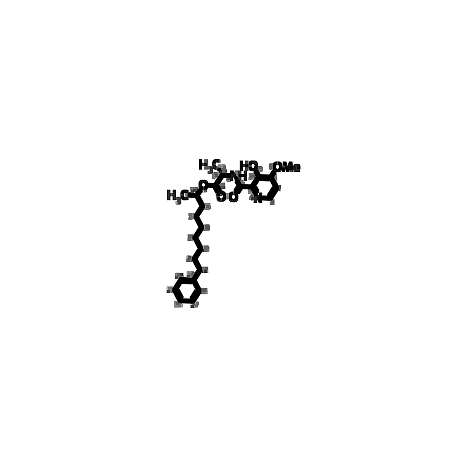 COc1ccnc(C(=O)N[C@@H](C)C(=O)OC(C)CCCCCCCc2ccccc2)c1O